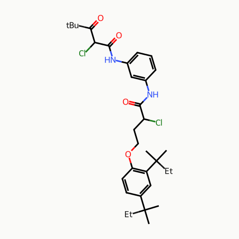 CCC(C)(C)c1ccc(OCCC(Cl)C(=O)Nc2cccc(NC(=O)C(Cl)C(=O)C(C)(C)C)c2)c(C(C)(C)CC)c1